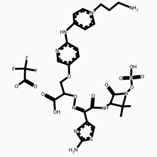 CC1(C)C(NC(=O)C(=NOC(COc2ccc(Nc3cc[n+](CCCN)cc3)nc2)C(=O)O)c2csc(N)n2)C(=O)N1OS(=O)(=O)O.O=C([O-])C(F)(F)F